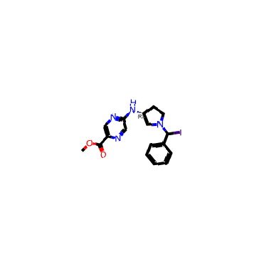 COC(=O)c1cnc(N[C@@H]2CCN(C(I)c3ccccc3)C2)cn1